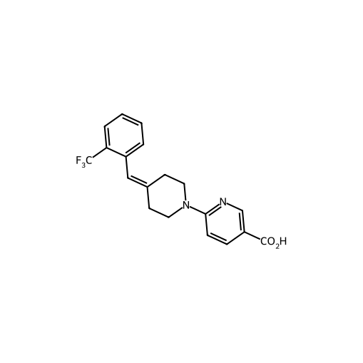 O=C(O)c1ccc(N2CCC(=Cc3ccccc3C(F)(F)F)CC2)nc1